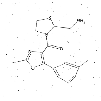 Cc1cccc(-c2oc(C)nc2C(=O)N2CCSC2CN)c1